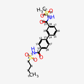 CCCCS(=O)(=O)NC(=O)c1ccc(-c2[c]ccc(C(=O)NS(C)(=O)=O)c2)cc1